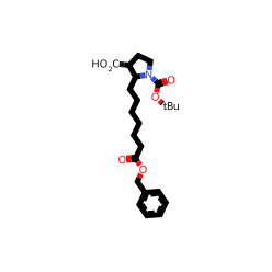 CC(C)(C)OC(=O)N1CCC(C(=O)O)C1CCCCCCC(=O)OCc1ccccc1